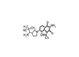 COc1c(N2CCC(C(N)C(C)(C)C#N)C2)ccc2c(=O)n(N)c(=O)n(C3CC3)c12